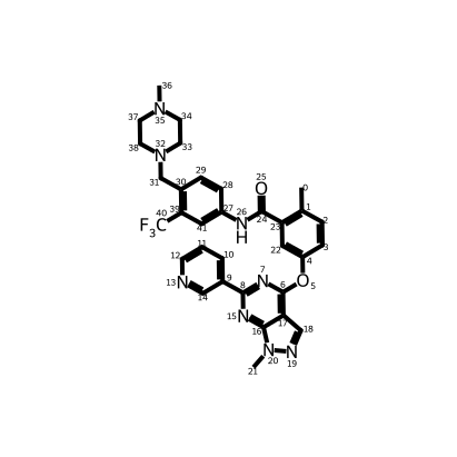 Cc1ccc(Oc2nc(-c3cccnc3)nc3c2cnn3C)cc1C(=O)Nc1ccc(CN2CCN(C)CC2)c(C(F)(F)F)c1